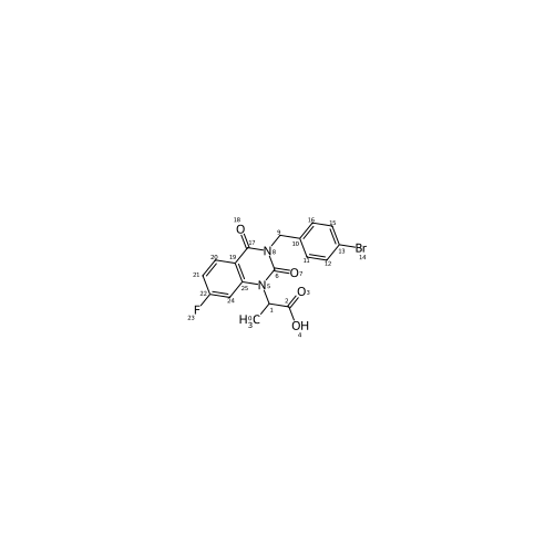 CC(C(=O)O)n1c(=O)n(Cc2ccc(Br)cc2)c(=O)c2ccc(F)cc21